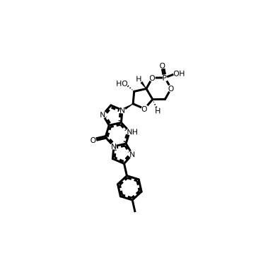 Cc1ccc(-c2cn3c(=O)c4ncn([C@@H]5O[C@@H]6COP(=O)(O)O[C@H]6[C@H]5O)c4[nH]c3n2)cc1